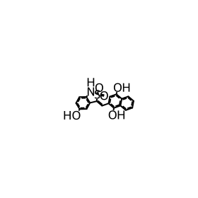 O=S1(=O)Nc2ccc(O)cc2C1=Cc1cc(O)c2ccccc2c1O